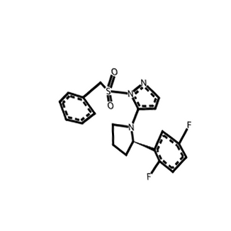 O=S(=O)(Cc1ccccc1)n1nccc1N1CCC[C@@H]1c1cc(F)ccc1F